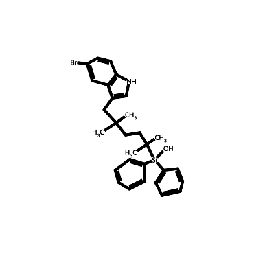 CC(C)(CCC(C)(C)[Si](O)(c1ccccc1)c1ccccc1)Cc1c[nH]c2ccc(Br)cc12